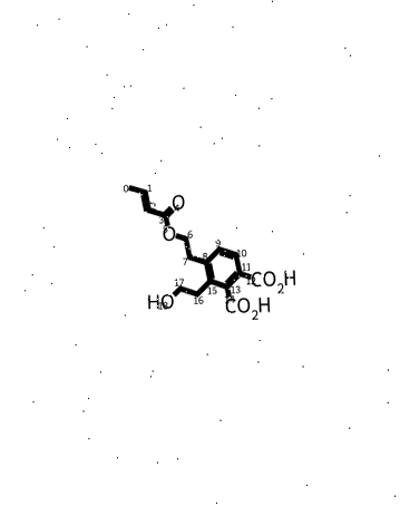 CC=CC(=O)OCCc1ccc(C(=O)O)c(C(=O)O)c1CCO